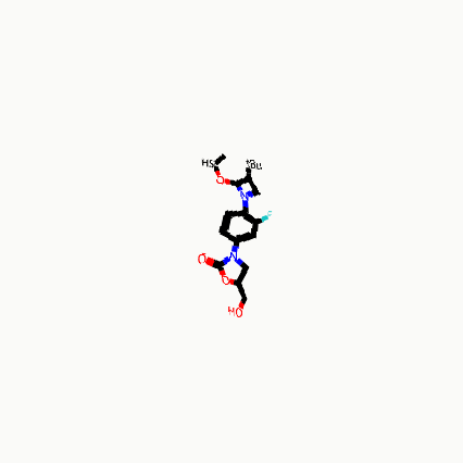 C[SiH](C)OC1C(C(C)(C)C)CN1c1ccc(N2CC(CO)OC2=O)cc1F